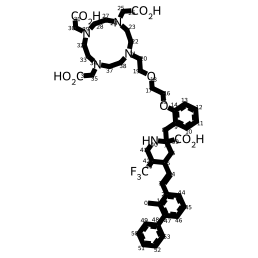 Cc1c(/C=C/C2CC(Cc3ccccc3OCCOCCN3CCN(CC(=O)O)CCN(CC(=O)O)CCN(CC(=O)O)CC3)(C(=O)O)NCC2C(F)(F)F)cccc1-c1ccccc1